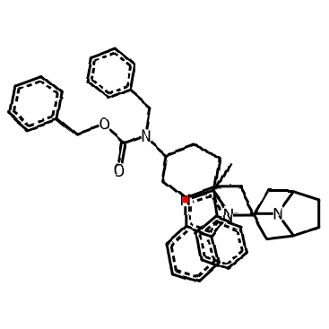 Cc1nc2ccccc2n1C1CC2CCC(C1)N2CCC1(c2ccccc2)CCC(N(Cc2ccccc2)C(=O)OCc2ccccc2)CC1